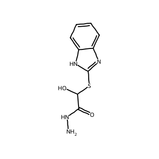 NNC(=O)C(O)Sc1nc2ccccc2[nH]1